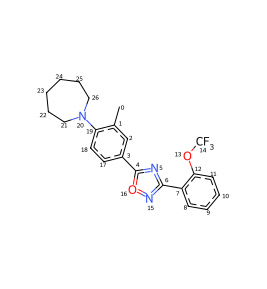 Cc1cc(-c2nc(-c3ccccc3OC(F)(F)F)no2)ccc1N1CCCCCC1